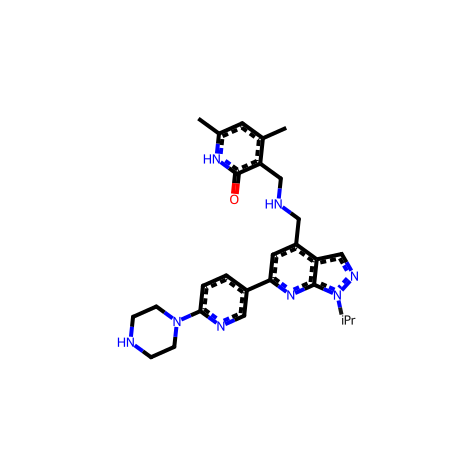 Cc1cc(C)c(CNCc2cc(-c3ccc(N4CCNCC4)nc3)nc3c2cnn3C(C)C)c(=O)[nH]1